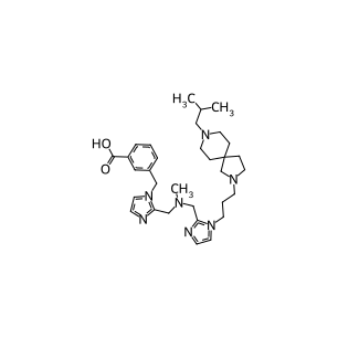 CC(C)CN1CCC2(CC1)CCN(CCCn1ccnc1CN(C)Cc1nccn1Cc1cccc(C(=O)O)c1)C2